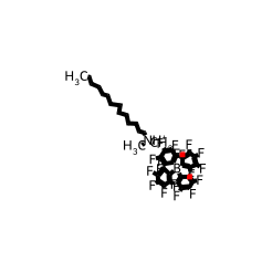 CCCCCCCCCCCCCC[NH+](C)C.Fc1c(F)c(F)c([B-](c2c(F)c(F)c(F)c(F)c2F)(c2c(F)c(F)c(F)c(F)c2F)c2c(F)c(F)c(F)c(F)c2F)c(F)c1F